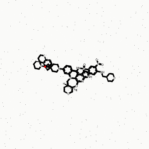 O=C(NS(=O)(=O)c1ccc(NCC2CCOCC2)c([N+](=O)[O-])c1)c1ccc(N2CCC3(CC2)CC(N2CCCC[C@]24CCOc2ccccc24)C3)cc1N1C[C@H]2CCOC[C@@H]2Oc2nc3[nH]ccc3cc21